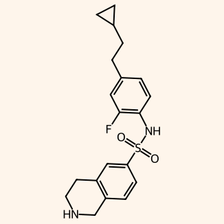 O=S(=O)(Nc1ccc(CCC2CC2)cc1F)c1ccc2c(c1)CCNC2